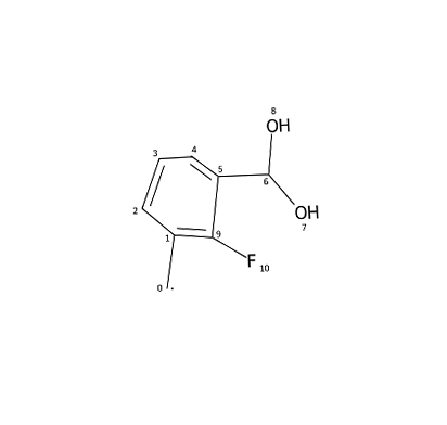 [CH2]c1cccc(C(O)O)c1F